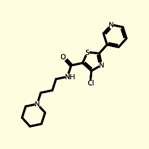 O=C(NCCCN1CCCCC1)c1sc(-c2cccnc2)nc1Cl